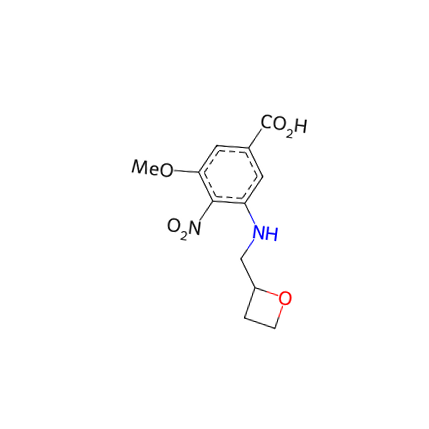 COc1cc(C(=O)O)cc(NCC2CCO2)c1[N+](=O)[O-]